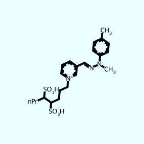 CCCC(C(CCC[n+]1cccc(C=NN(C)c2ccc(C)cc2)c1)S(=O)(=O)O)S(=O)(=O)O